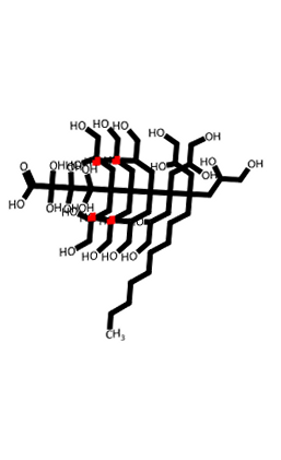 CCCCCCCCCC(CC(O)CO)(CC(O)CO)C(CC(O)CO)(CC(O)CO)C(CC(O)CO)(CC(O)CO)C(CC(O)CO)(CC(O)CO)C(CC(O)CO)(CC(O)CO)C(O)(O)C(O)(O)C(O)(O)C(=O)O